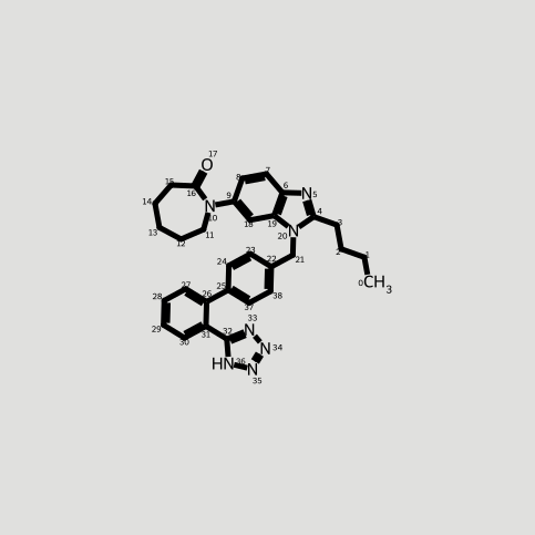 CCCCc1nc2ccc(N3CCCCCC3=O)cc2n1Cc1ccc(-c2ccccc2-c2nnn[nH]2)cc1